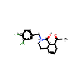 COC(=O)C1CC=CC2CCN(Cc3ccc(Cl)c(Cl)c3)C(=O)C21